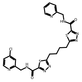 O=C(NCc1ccccn1)c1nnc(CCCCc2nnc(C(=O)NCc3cc(Cl)ccn3)s2)s1